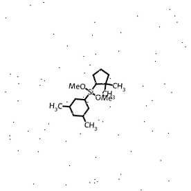 CO[Si](OC)(C1CC(C)CC(C)C1)C1CCCC1(C)C